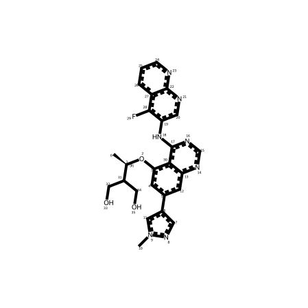 C[C@@H](Oc1cc(-c2cnn(C)c2)cc2ncnc(Nc3cnc4ncccc4c3F)c12)C(CO)CO